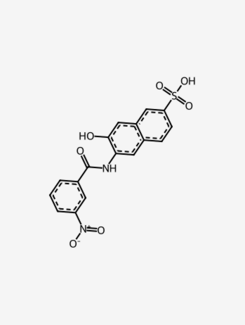 O=C(Nc1cc2ccc(S(=O)(=O)O)cc2cc1O)c1cccc([N+](=O)[O-])c1